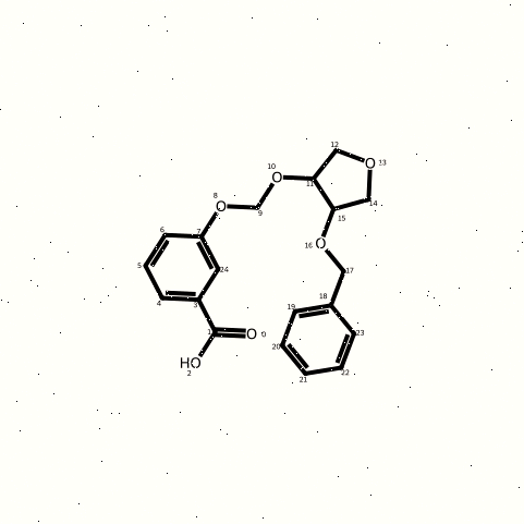 O=C(O)c1cccc(OCOC2COCC2OCc2ccccc2)c1